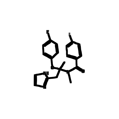 CN(C(=O)c1ccc(I)cc1)C(C)(Cc1ncc[nH]1)Oc1ccc(F)cc1